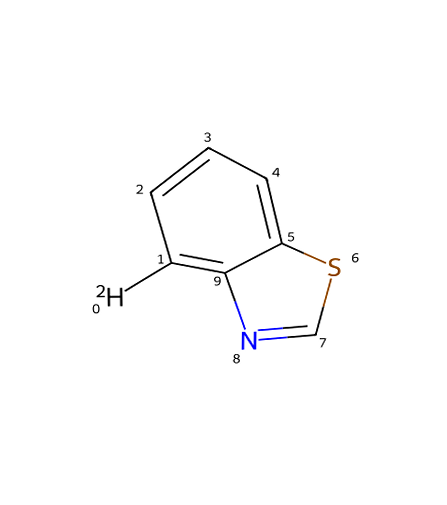 [2H]c1cccc2scnc12